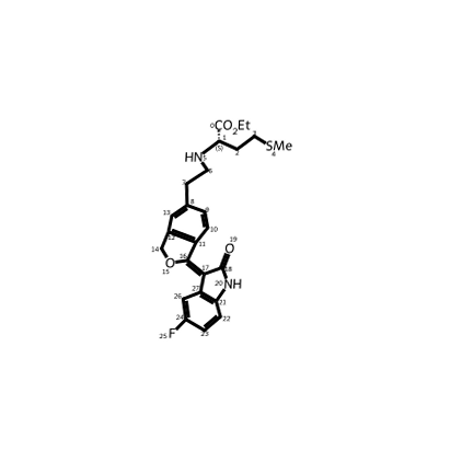 CCOC(=O)[C@H](CCSC)NCCc1ccc2c(c1)COC2=C1C(=O)Nc2ccc(F)cc21